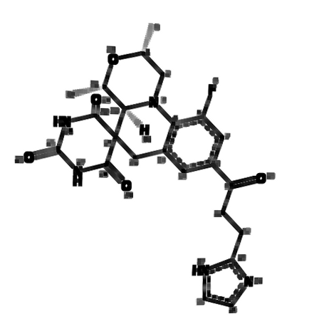 C[C@@H]1CN2c3c(F)cc(C(=O)CCc4ncc[nH]4)cc3CC3(C(=O)NC(=O)NC3=O)[C@H]2[C@H](C)O1